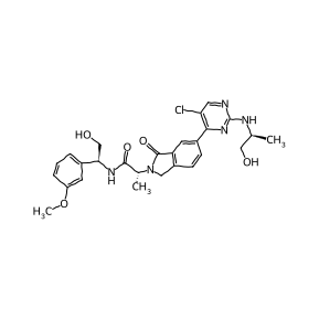 COc1cccc([C@@H](CO)NC(=O)[C@@H](C)N2Cc3ccc(-c4nc(N[C@@H](C)CO)ncc4Cl)cc3C2=O)c1